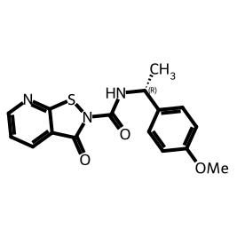 COc1ccc([C@@H](C)NC(=O)n2sc3ncccc3c2=O)cc1